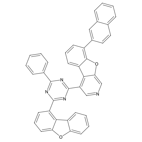 c1ccc(-c2nc(-c3cccc4oc5ccccc5c34)nc(-c3cncc4oc5c(-c6ccc7ccccc7c6)cccc5c34)n2)cc1